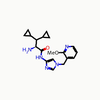 COc1ncccc1Cn1cnc(NC(=O)[C@@H](N)C(C2CC2)C2CC2)c1